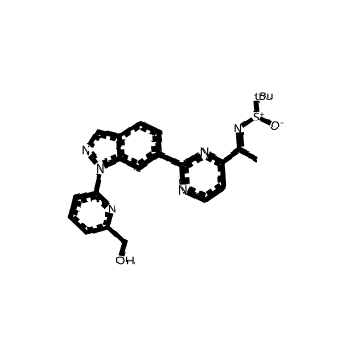 CC(=N[S+]([O-])C(C)(C)C)c1ccnc(-c2ccc3cnn(-c4cccc(CO)n4)c3c2)n1